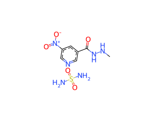 CNNC(=O)c1cncc([N+](=O)[O-])c1.NS(N)(=O)=O